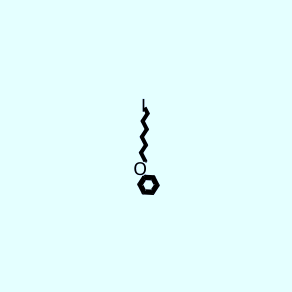 ICCCCCCCOc1ccccc1